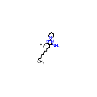 CCCCCCCCCc1c(C)nc(N2CCCCC2)nc1N